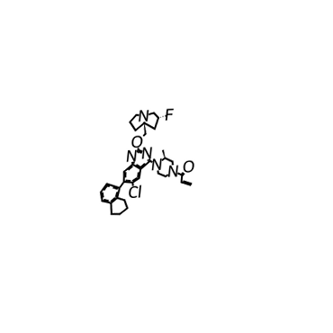 C=CC(=O)N1CCN(c2nc(OC[C@@]34CCCN3C[C@H](F)C4)nc3cc(-c4cccc5c4CCCC5)c(Cl)cc23)[C@@H](C)C1